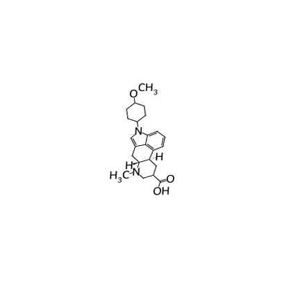 COC1CCC(n2cc3c4c(cccc42)[C@H]2CC(C(=O)O)CN(C)[C@@H]2C3)CC1